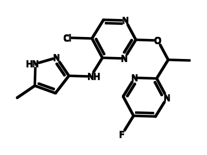 Cc1cc(Nc2nc(OC(C)c3ncc(F)cn3)ncc2Cl)n[nH]1